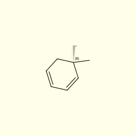 [CH2][C@]1(C)C=CC=CC1